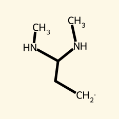 [CH2]CC(NC)NC